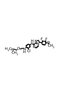 COc1ccc(C2CN=C3C(Nc4ccc(NCCOCCN(C)C)c(Cl)c4)=NC=CN32)c(F)c1F